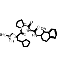 O=CN(O)C[C@@H](CC1CCCC1)C(=O)N1CCC[C@H]1C(=O)NC(=O)NC1CCc2ccccc2C1O